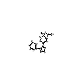 S=C1C[C@@H]2SCC(c3ccnn3-c3ccccc3)=CN12